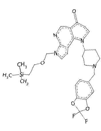 C[Si](C)(C)CCOCn1ccc2c1ncc1c(=O)ccn(C3CCN(Cc4ccc5c(c4)OC(F)(F)O5)CC3)c12